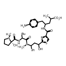 CCC(C)C(NC(=O)[C@@]1(C)CCCN1C)C(=O)N(C)C(CC(O)c1nc(C(=O)NC(Cc2ccc(N)cc2)CC(C)C(=O)O)cs1)C(C)C